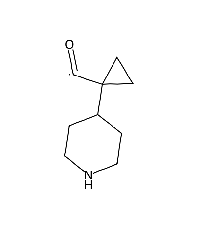 O=[C]C1(C2CCNCC2)CC1